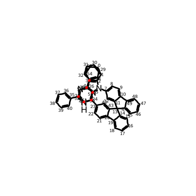 C1=Cc2c(c3c(n2-c2ccc4c(c2)C2(c5ccccc5-c5ccc(-c6nc(-c7ccccc7)nc(-c7ccccc7)n6)cc52)c2ccccc2-4)CNC=C3)CC1